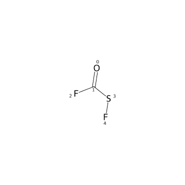 O=C(F)SF